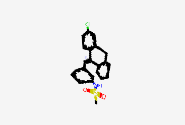 CS(=O)(=O)Nc1cccc(/C=C2\c3ccccc3CCc3cc(Cl)ccc32)c1